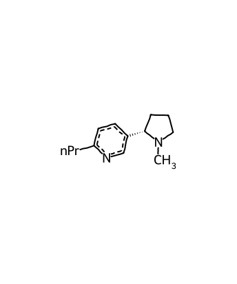 CCCc1ccc([C@@H]2CCCN2C)cn1